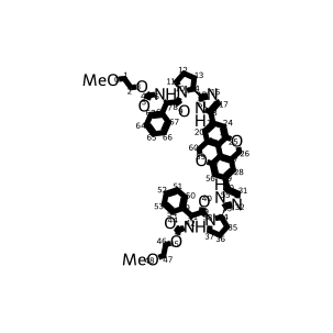 COCCOC(=O)N[C@@H](C(=O)N1CCC[C@H]1c1ncc(-c2cc3c4c(c2)OCc2cc(-c5cnc([C@@H]6CCCN6C(=O)[C@H](NC(=O)OCCOC)c6ccccc6)[nH]5)cc(c2-4)OC3)[nH]1)c1ccccc1